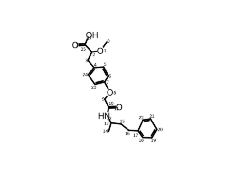 COC(Cc1ccc(OCC(=O)NC(C)CCc2ccccc2)cc1)C(=O)O